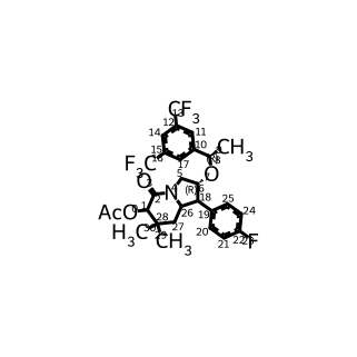 CC(=O)OC1C(=O)N2C[C@H](O[C@H](C)c3cc(C(F)(F)F)cc(C(F)(F)F)c3)C(c3ccc(F)cc3)C2CC1(C)C